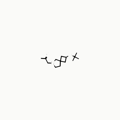 CC(=O)CN1CCC2(CC(OC(C)(C)C)C2)C1